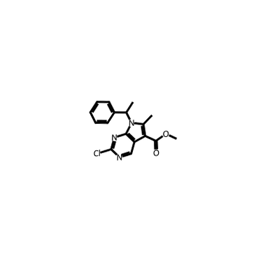 COC(=O)c1c(C)n(C(C)c2ccccc2)c2nc(Cl)ncc12